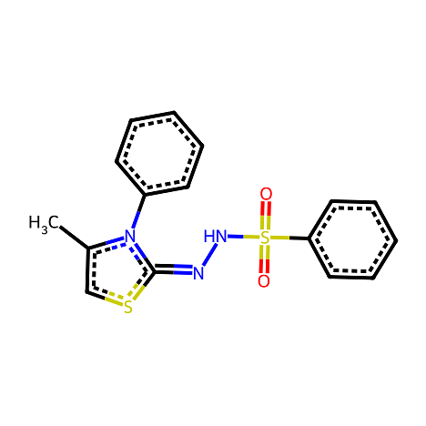 Cc1csc(=NNS(=O)(=O)c2ccccc2)n1-c1ccccc1